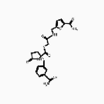 N=C(N)c1cccc(C[C@@]2(C(=O)NCC(=O)NCc3ccc(C(N)=O)s3)CCC(=O)N2)c1